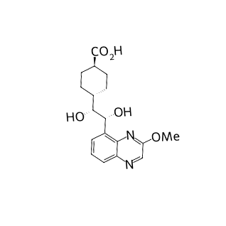 COc1cnc2cccc([C@@H](O)[C@H](O)[C@H]3CC[C@H](C(=O)O)CC3)c2n1